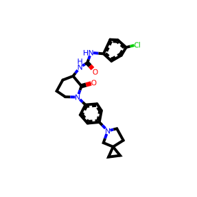 O=C(Nc1ccc(Cl)cc1)NC1CCCN(c2ccc(N3CCC4(CC4)C3)cc2)C1=O